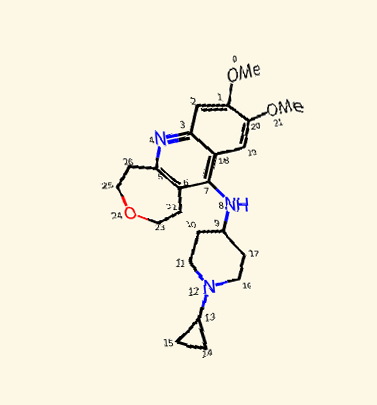 COc1cc2nc3c(c(NC4CCN(C5CC5)CC4)c2cc1OC)CCOCC3